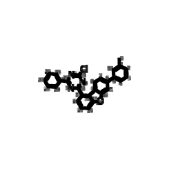 Cc1cccc(-c2ccc3c(c2)oc2cccc(-c4nc(Cl)nc(-c5ccccc5)n4)c23)c1